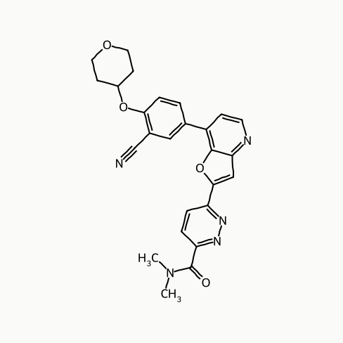 CN(C)C(=O)c1ccc(-c2cc3nccc(-c4ccc(OC5CCOCC5)c(C#N)c4)c3o2)nn1